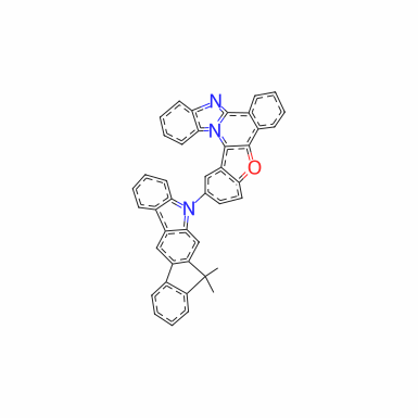 CC1(C)c2ccccc2-c2cc3c4ccccc4n(-c4ccc5oc6c7ccccc7c7nc8ccccc8n7c6c5c4)c3cc21